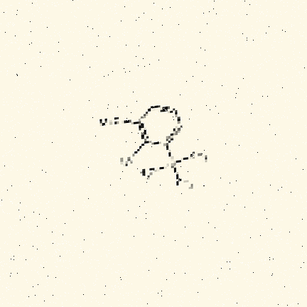 COc1cccc([Si](C)(C)C)c1C